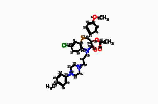 COc1ccc([C@H]2Sc3cc(Cl)ccc3N(CCCN3CCN(c4ccc(C)cc4)CC3)C(=O)[C@H]2OC(C)=O)cc1